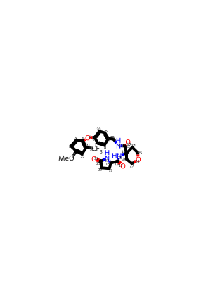 COc1ccc(Oc2ccc(CNC(=O)C3(NC(=O)C4CCC(=O)N4)CCOCC3)cc2)c(C(F)(F)F)c1